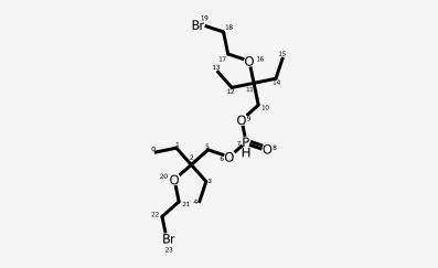 CCC(CC)(CO[PH](=O)OCC(CC)(CC)OCCBr)OCCBr